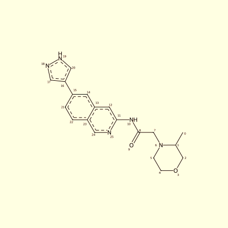 CC1COCCN1CC(=O)Nc1cc2cc(-c3cn[nH]c3)ccc2cn1